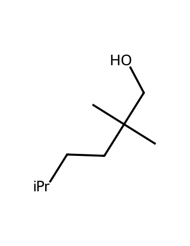 CC(C)CCC(C)(C)CO